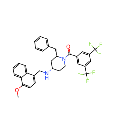 COc1ccc(CN[C@H]2CCN(C(=O)c3cc(C(F)(F)F)cc(C(F)(F)F)c3)[C@H](Cc3ccccc3)C2)c2ccccc12